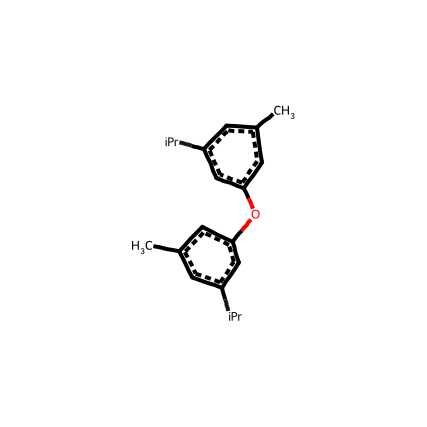 Cc1cc(Oc2cc(C)cc(C(C)C)c2)cc(C(C)C)c1